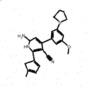 COc1cc(C2=CC(N)NC(C3=CC=C(C)C3)=C2C#N)cc(N2CCCC2)c1